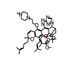 COC(=O)/C(C)=C\CC12OC(C)(C)C3CC(C1=O)C1C4=C(Nc5ncn1n5)c1c(OCCN5CCN(C)CC5)c5c(c(CC=C(C)C)c1OC432)OC(C)(CCC=C(C)C)C=C5